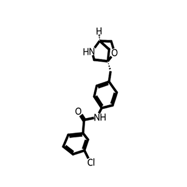 O=C(Nc1ccc(C[C@@]23CN[C@@H](CO2)C3)cc1)c1cccc(Cl)c1